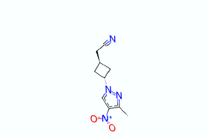 Cc1nn([C@H]2C[C@H](CC#N)C2)cc1[N+](=O)[O-]